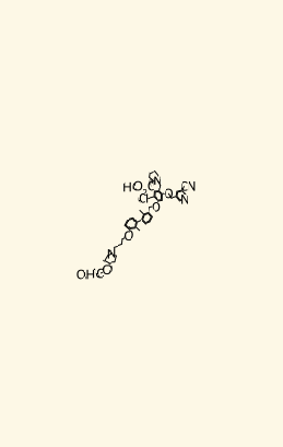 Cc1c(COc2cc(OCc3cncc(C#N)c3)c(CN3CCCC[C@H]3C(=O)O)cc2Cl)cccc1-c1cccc(OCCCN2CCC(OC=O)CC2)c1C